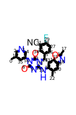 Cc1cncc(-n2c(=O)nc(Nc3cc4oc(C)nc4cc3C)n(Cc3ccc(F)c(C#N)c3)c2=O)c1